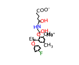 CC[C@@H](Oc1ccc(F)cc1)c1cc(C)cc(C)c1OC(O)CNC[C@@H](O)CCCC(=O)[O-].[Na+]